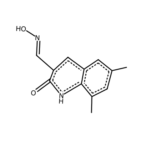 Cc1cc(C)c2[nH]c(=O)c(C=NO)cc2c1